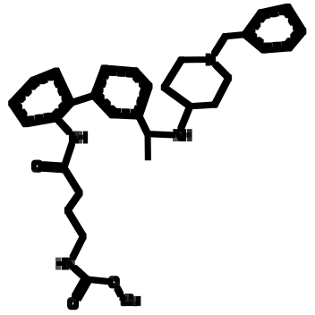 CC(NC1CCN(Cc2ccccc2)CC1)c1cccc(-c2ccccc2NC(=O)CCCNC(=O)OC(C)(C)C)c1